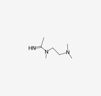 CC(=N)N(C)CCN(C)C